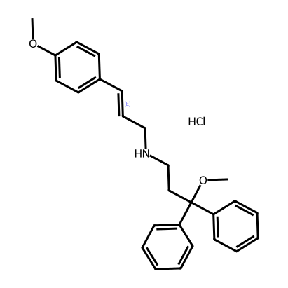 COc1ccc(/C=C/CNCCC(OC)(c2ccccc2)c2ccccc2)cc1.Cl